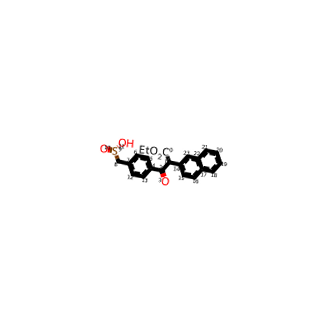 CCOC(=O)C(C(=O)c1ccc(CS(=O)O)cc1)c1ccc2ccccc2c1